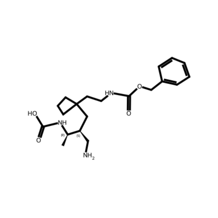 C[C@@H](NC(=O)O)[C@H](CN)CC1(CCNC(=O)OCc2ccccc2)CCC1